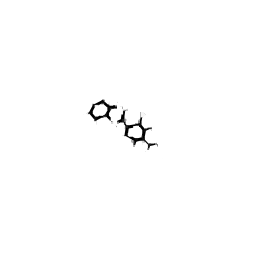 CC(C)c1c(O)cc(-c2cnc3ccccc3n2)c(F)c1F